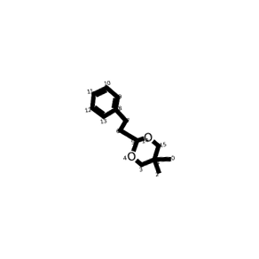 CC1(C)COC(CCc2ccccc2)OC1